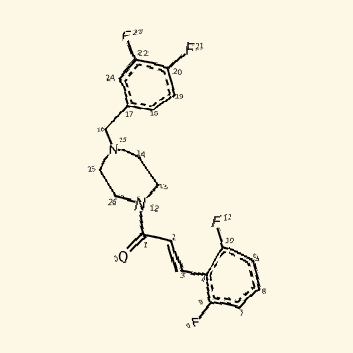 O=C(C=Cc1c(F)cccc1F)N1CCN(Cc2ccc(F)c(F)c2)CC1